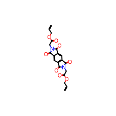 C=CCOC(=O)Cn1c(=O)c2cc3c(=O)n(CC(=O)OCC=C)c(=O)c3cc2c1=O